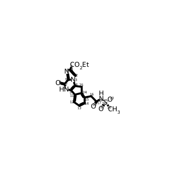 CCOC(=O)c1cn2c3c([nH]c(=O)c2n1)-c1cccc(CC(=O)NS(C)(=O)=O)c1C3